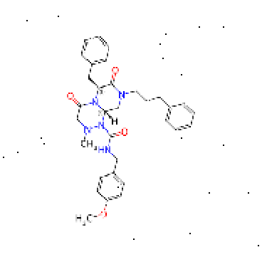 COc1ccc(CNC(=O)N2[C@H]3CN(CCCc4ccccc4)C(=O)[C@H](Cc4ccccc4)N3C(=O)CN2C)cc1